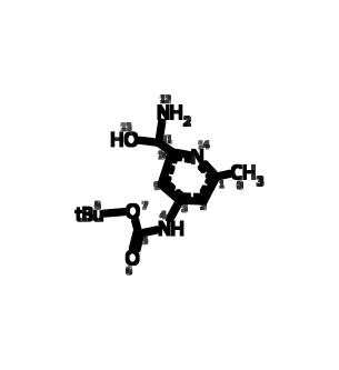 Cc1cc(NC(=O)OC(C)(C)C)cc(C(N)O)n1